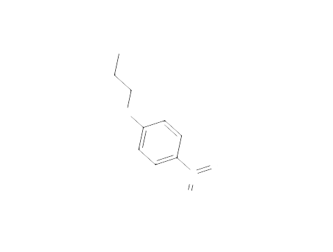 CCCOc1ccc([SH](=O)=O)cc1